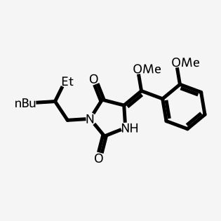 CCCCC(CC)CN1C(=O)NC(=C(OC)c2ccccc2OC)C1=O